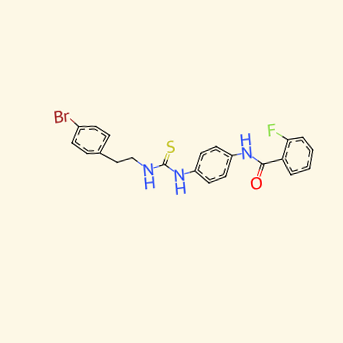 O=C(Nc1ccc(NC(=S)NCCc2ccc(Br)cc2)cc1)c1ccccc1F